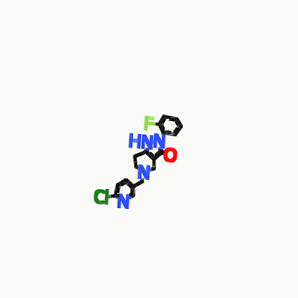 O=c1c2c([nH]n1-c1ccccc1F)CCN(Cc1ccc(Cl)nc1)C2